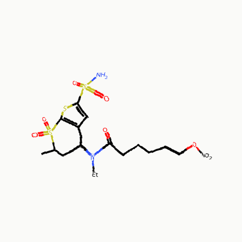 CCN(C(=O)CCCCCO[N+](=O)[O-])C1CC(C)S(=O)(=O)c2sc(S(N)(=O)=O)cc21